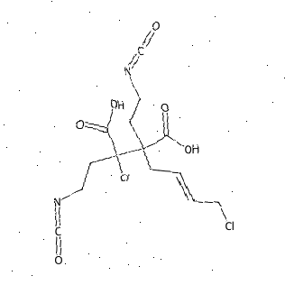 O=C=NCCC(Cl)(C(=O)O)C(CC=CCCl)(CCN=C=O)C(=O)O